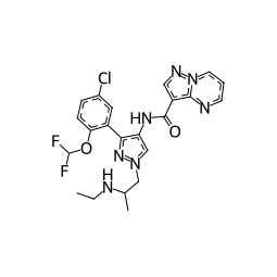 CCNC(C)Cn1cc(NC(=O)c2cnn3cccnc23)c(-c2cc(Cl)ccc2OC(F)F)n1